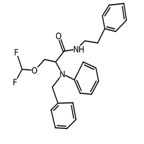 O=C(NCCc1ccccc1)C(COC(F)F)N(Cc1ccccc1)c1ccccc1